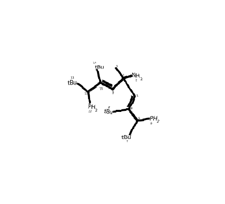 CC(N)(/C=C(/C(P)C(C)(C)C)C(C)(C)C)/C=C(/C(P)C(C)(C)C)C(C)(C)C